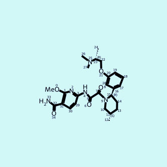 COc1nc(NC(=O)C(=O)N2C[C@@H](C)CC[C@@H]2c2cccc(OC[C@@H](C)N(C)C)c2)ccc1C(N)=O